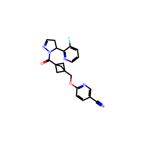 N#Cc1ccc(OCC23CC(C(=O)N4N=CCC4c4ncccc4F)(C2)C3)nc1